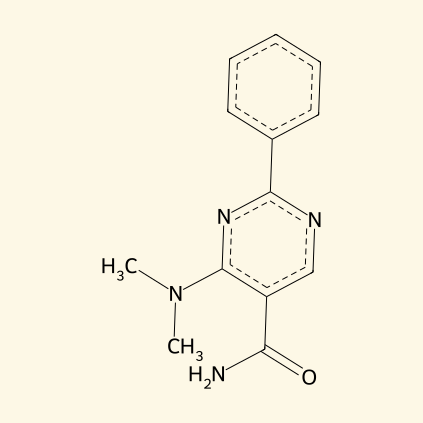 CN(C)c1nc(-c2ccccc2)ncc1C(N)=O